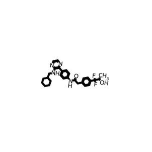 CC(O)C(F)(F)c1ccc(CC(=O)Nc2ccc(-c3nccnc3NCC3CCCCC3)cc2)cc1